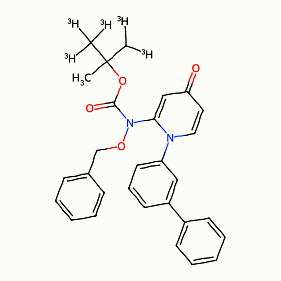 [3H]C([3H])C(C)(OC(=O)N(OCc1ccccc1)c1cc(=O)ccn1-c1cccc(-c2ccccc2)c1)C([3H])([3H])[3H]